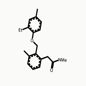 CCc1cc(C)ccc1OCc1c(C)cccc1CC(=O)NC